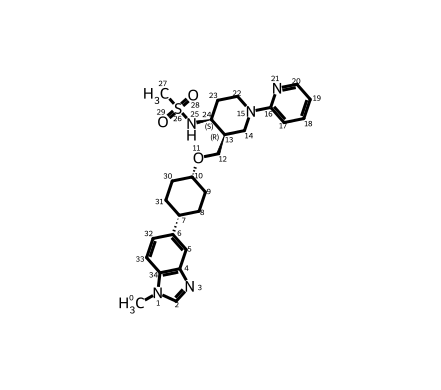 Cn1cnc2cc([C@H]3CC[C@@H](OC[C@@H]4CN(c5ccccn5)CC[C@@H]4NS(C)(=O)=O)CC3)ccc21